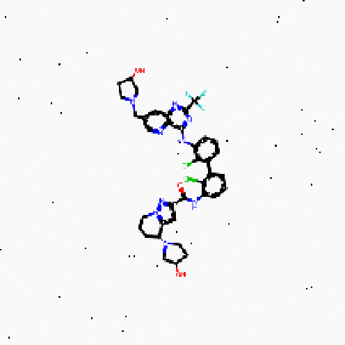 O=C(Nc1cccc(-c2cccc(Nc3nc(C(F)(F)F)nc4cc(CN5CC[C@@H](O)C5)cnc34)c2Cl)c1Cl)c1cc2n(n1)CCC[C@H]2N1CC[C@@H](O)C1